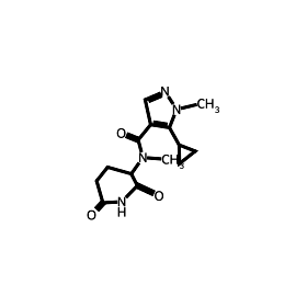 CN(C(=O)c1cnn(C)c1C1CC1)C1CCC(=O)NC1=O